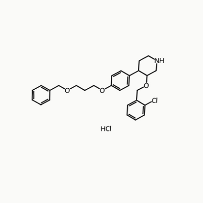 Cl.Clc1ccccc1COC1CNCCC1c1ccc(OCCCOCc2ccccc2)cc1